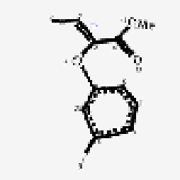 C/C=C(\Oc1cccc(I)c1)C(=O)OC